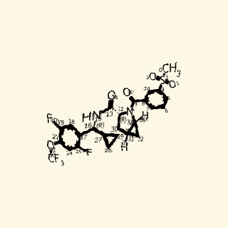 CS(=O)(=O)c1cccc(C(=O)N2[C@@H](C(=O)N[C@@H](c3cc(F)c(OC(F)(F)F)cc3F)C3CC3)C[C@H]3C[C@H]32)c1